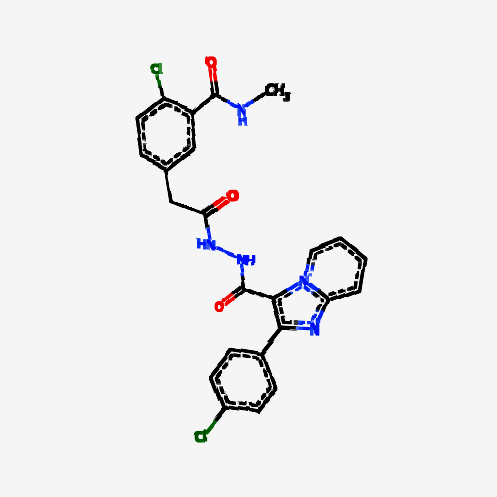 CNC(=O)c1cc(CC(=O)NNC(=O)c2c(-c3ccc(Cl)cc3)nc3ccccn23)ccc1Cl